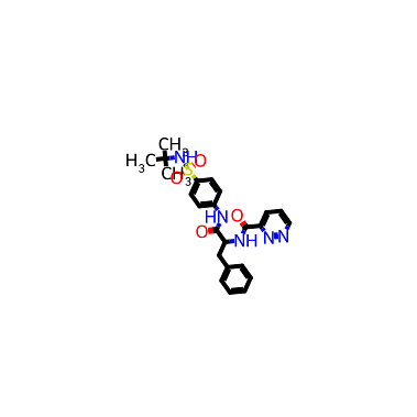 CC(C)(C)NS(=O)(=O)c1ccc(NC(=O)C(Cc2ccccc2)NC(=O)c2cccnn2)cc1